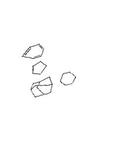 C1C2CC3CC1CC(C2)C3.C1CCCC1.C1CCCCC1.c1ccccc1